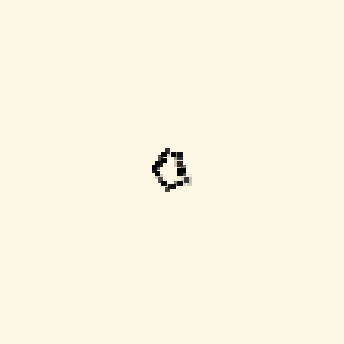 b1ccsn1